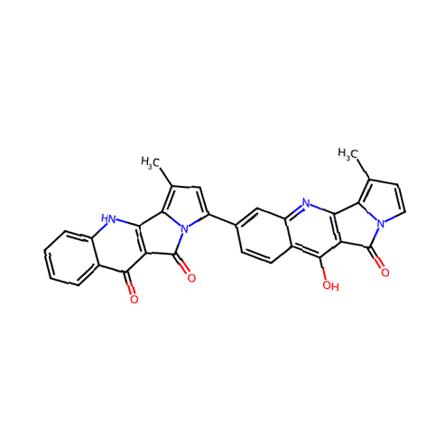 Cc1ccn2c1-c1nc3cc(-c4cc(C)c5n4C(=O)c4c-5[nH]c5ccccc5c4=O)ccc3c(O)c1C2=O